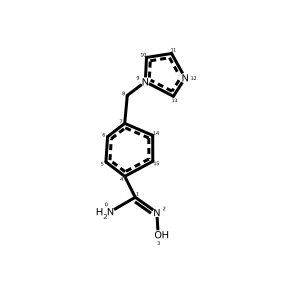 N/C(=N\O)c1ccc(Cn2ccnc2)cc1